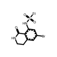 CCS(=O)(=O)Nc1cc(Br)cc2c1C(=O)NCC2